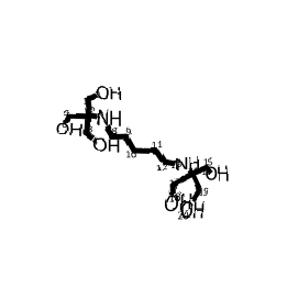 OCC(CO)(CO)NCCCCCNC(CO)(CO)CO